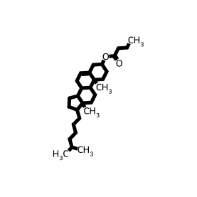 CCCC(=O)OC1CCC2(C)C(=CCC3C2CCC2(C)C(CCCCC(C)C)CCC32)C1